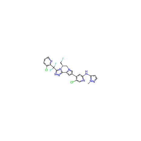 Cn1nccc1Nc1cc(-c2cc3n(c2)C[C@H](CF)n2c-3nnc2C(F)(F)c2ncccc2Cl)c(Cl)cn1